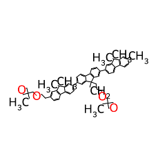 C=CC1(CCCOCC2(CC)COC2)c2cc(-c3ccc4c(c3)C(C)(C)c3cc(C)ccc3-4)ccc2-c2ccc(-c3ccc4c(c3)C(C)(C)c3cc(CCOCC5(CC)COC5)ccc3-4)cc21